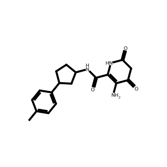 Cc1ccc(C2CCC(NC(=O)C3=C(N)C(=O)CC(=O)N3)C2)cc1